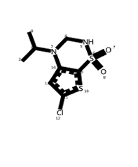 CC(C)N1CNS(=O)(=O)c2sc(Cl)cc21